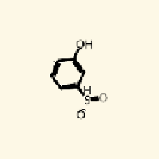 O=[SH](=O)c1cc[c]c(O)c1